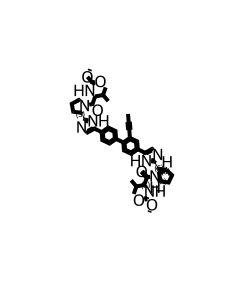 CC#Cc1cc(-c2cnc([C@@H]3[C@H]4CC[C@H](C4)N3C(=O)[C@@H](NC(=O)OC)C(C)C)[nH]2)ccc1-c1ccc(-c2cnc([C@@H]3CCCN3C(=O)C(NC(=O)OC)C(C)C)[nH]2)cc1